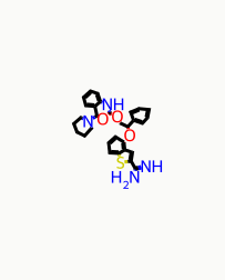 N=C(N)c1cc2c(OC(COC(=O)Nc3ccccc3CN3CCCCC3)c3ccccc3)cccc2s1